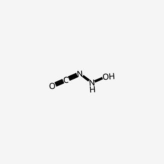 O=C=NNO